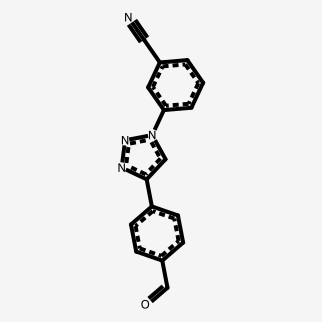 N#Cc1cccc(-n2cc(-c3ccc(C=O)cc3)nn2)c1